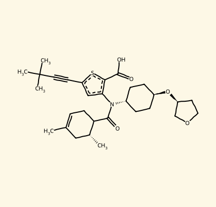 CC1=CCC(C(=O)N(c2cc(C#CC(C)(C)C)sc2C(=O)O)[C@H]2CC[C@H](O[C@H]3CCOC3)CC2)[C@H](C)C1